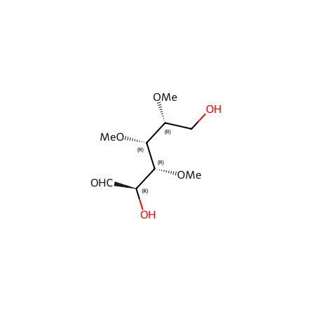 CO[C@@H]([C@H](OC)[C@@H](CO)OC)[C@@H](O)C=O